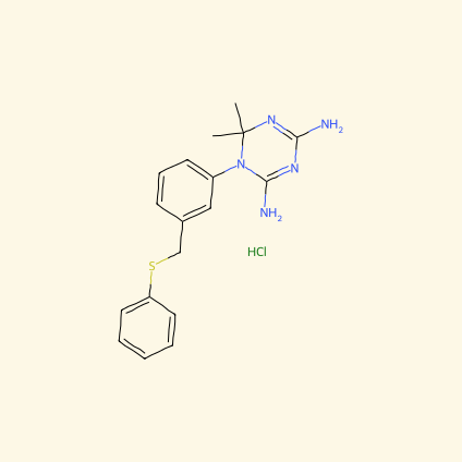 CC1(C)N=C(N)N=C(N)N1c1cccc(CSc2ccccc2)c1.Cl